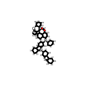 c1ccc(N(c2ccc3c4ccccc4n(-c4ccc5c(c4)sc4ccccc45)c3c2)c2ccc3c4c(cccc24)C2(c4ccccc4Oc4ccccc42)c2ccccc2-3)cc1